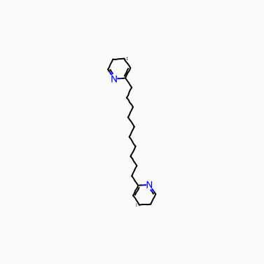 [C]1C=C(CCCCCCCCCCC2=C[C]CC=N2)N=CC1